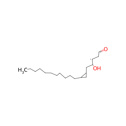 CCCCCCCCCCCC1CC1CC(O)[CH]CC=O